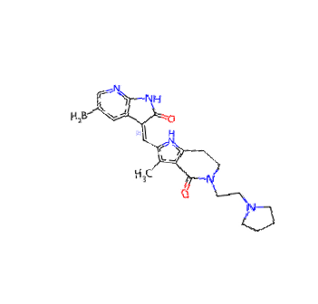 Bc1cnc2c(c1)/C(=C/c1[nH]c3c(c1C)C(=O)N(CCN1CCCC1)CC3)C(=O)N2